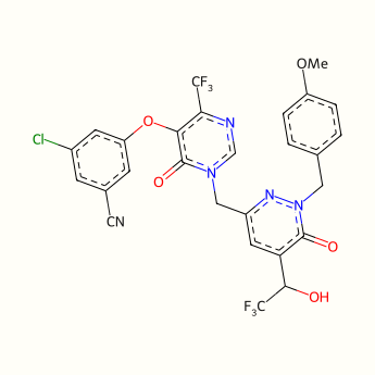 COc1ccc(Cn2nc(Cn3cnc(C(F)(F)F)c(Oc4cc(Cl)cc(C#N)c4)c3=O)cc(C(O)C(F)(F)F)c2=O)cc1